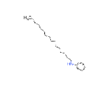 CCCCCCCCCCCCCCCCNc1cc[c]cc1